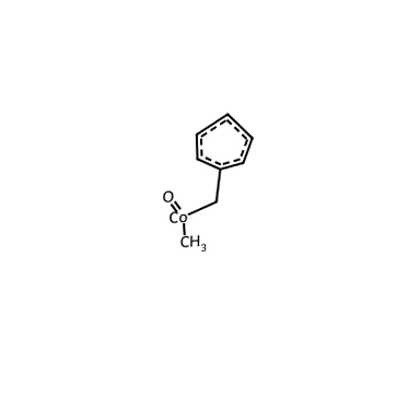 [CH3][Co](=[O])[CH2]c1ccccc1